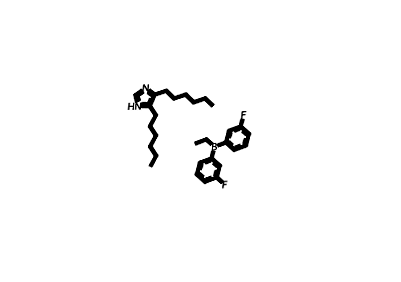 CCB(c1cccc(F)c1)c1cccc(F)c1.CCCCCCc1nc[nH]c1CCCCCC